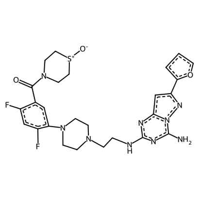 Nc1nc(NCCN2CCN(c3cc(C(=O)N4CC[S+]([O-])CC4)c(F)cc3F)CC2)nc2cc(-c3ccco3)nn12